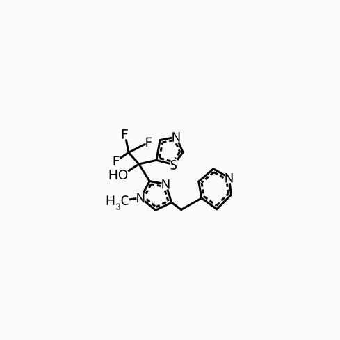 Cn1cc(Cc2ccncc2)nc1C(O)(c1cncs1)C(F)(F)F